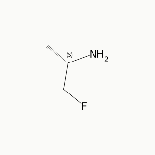 C[C@H](N)CF